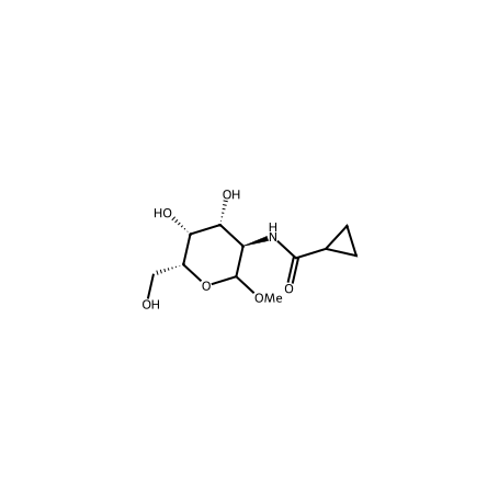 COC1O[C@H](CO)[C@H](O)[C@H](O)[C@H]1NC(=O)C1CC1